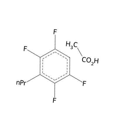 CC(=O)O.CCCc1c(F)c(F)cc(F)c1F